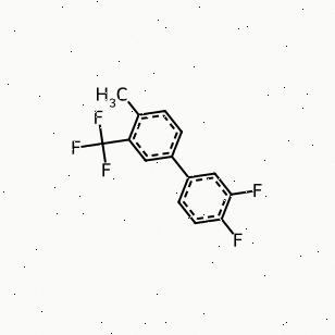 Cc1ccc(-c2ccc(F)c(F)c2)cc1C(F)(F)F